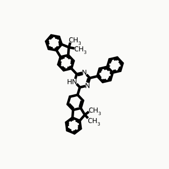 CC1(C)C2=CC(C3N=C(c4ccc5ccccc5c4)N=C(c4ccc5c(c4)C(C)(C)c4ccccc4-5)N3)CC=C2c2ccccc21